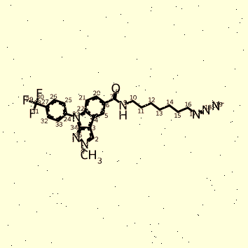 Cn1cc2c3cc(C(=O)NCCCCCCCN=[N+]=[N-])ccc3n(-c3ccc(C(F)(F)F)cc3)c2n1